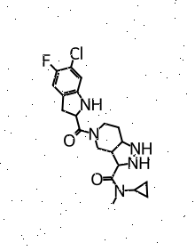 CN(C(=O)C1NNC2CCN(C(=O)C3Cc4cc(F)c(Cl)cc4N3)CC21)C1CC1